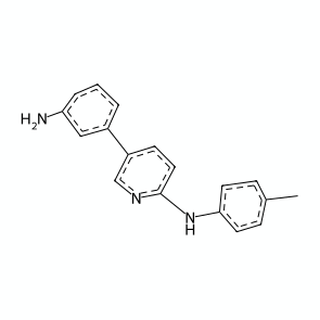 Cc1ccc(Nc2ccc(-c3cccc(N)c3)cn2)cc1